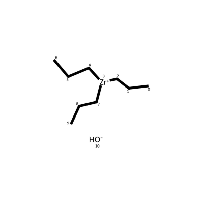 CC[CH2][Zr+]([CH2]CC)[CH2]CC.[OH-]